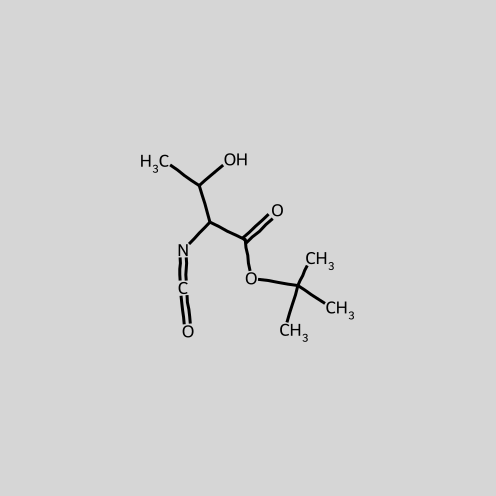 CC(O)C(N=C=O)C(=O)OC(C)(C)C